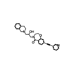 O=C1c2ccc(C#Cc3cccnc3)cc2OCCN1CC(O)CN1CCc2ccccc2C1